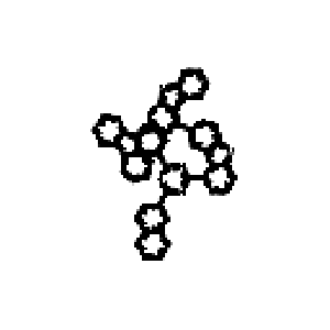 c1ccc(-c2nc(-c3ccc4ccccc4c3)nc(-c3cccc4oc5ccc(-c6cc(-n7c8ccccc8c8ccccc87)cc7sc8ccccc8c67)cc5c34)n2)cc1